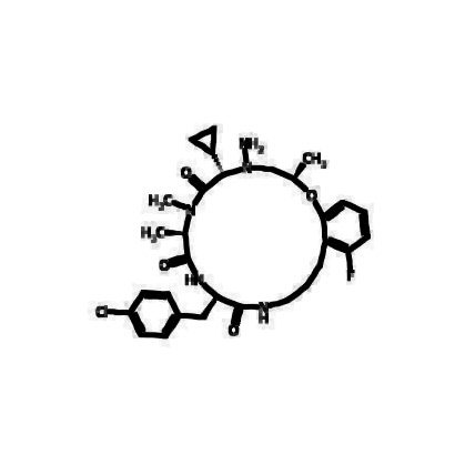 C[C@@H]1CN(N)[C@@H](C2CC2)C(=O)N(C)[C@H](C)C(=O)N[C@H](Cc2ccc(Cl)cc2)C(=O)NCCCc2c(F)cccc2O1